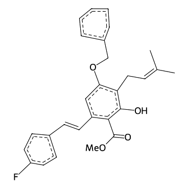 COC(=O)c1c(C=Cc2ccc(F)cc2)cc(OCc2ccccc2)c(CC=C(C)C)c1O